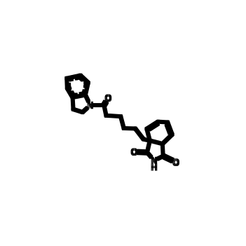 O=C1NC(=O)C2(CCCCCC(=O)N3CCc4ccccc43)C=CC=CC12